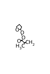 C=C(C)C(=O)OCOC1CCCO1